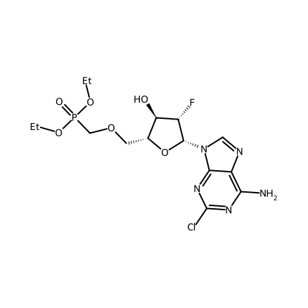 CCOP(=O)(COC[C@H]1O[C@@H](n2cnc3c(N)nc(Cl)nc32)[C@@H](F)[C@@H]1O)OCC